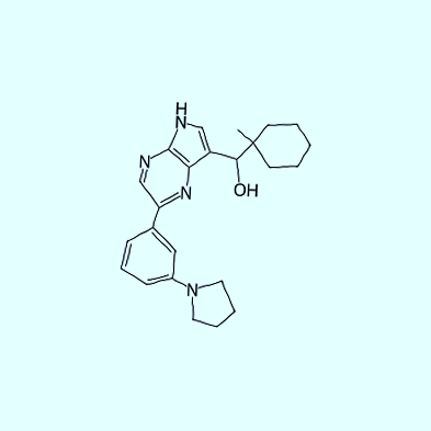 CC1(C(O)c2c[nH]c3ncc(-c4cccc(N5CCCC5)c4)nc23)CCCCC1